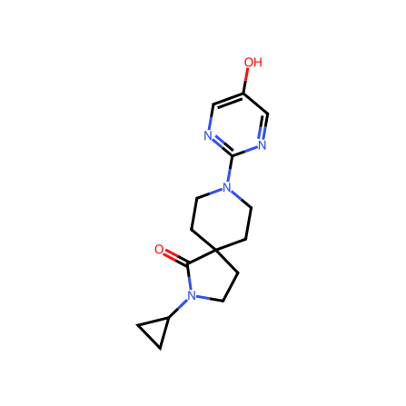 O=C1N(C2CC2)CCC12CCN(c1ncc(O)cn1)CC2